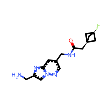 NCc1cn2ncc(CNC(=O)C[C@]34C[C@@](F)(C3)C4)cc2n1